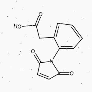 O=C(O)Cc1ccccc1N1C(=O)C=CC1=O